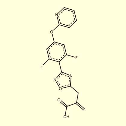 C=C(Cc1nc(-c2c(F)cc(Oc3ccccn3)cc2F)no1)C(=O)O